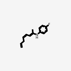 C=CC/C=C\C=C(/C)Nc1ccc(F)cc1